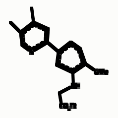 CCOC(=O)CNc1cc(-c2cc(C)c(C)cn2)ccc1OC